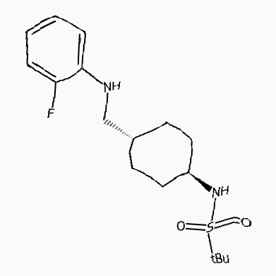 CC(C)(C)S(=O)(=O)N[C@H]1CC[C@H](CNc2ccccc2F)CC1